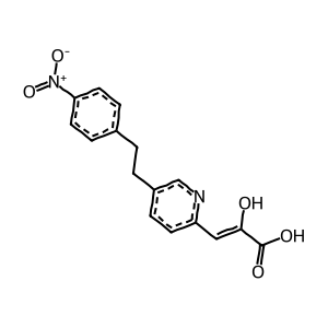 O=C(O)/C(O)=C/c1ccc(CCc2ccc([N+](=O)[O-])cc2)cn1